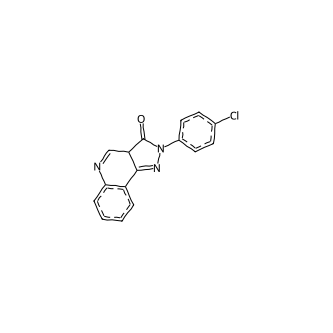 O=C1C2C=Nc3ccccc3C2=NN1c1ccc(Cl)cc1